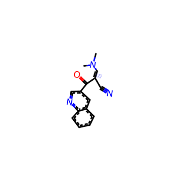 CN(C)/C=C(/C#N)C(=O)c1cnc2ccccc2c1